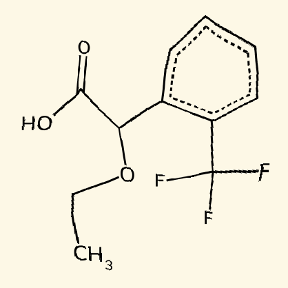 CCOC(C(=O)O)c1ccccc1C(F)(F)F